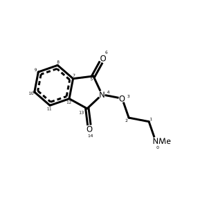 CNCCON1C(=O)c2ccccc2C1=O